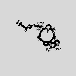 CO[C@@H](COC1CN(C(=O)C#CC(C)(C)N(C)C)C1)C(=O)N[C@H]1Cc2coc(n2)-c2ccc3c(c2)c(c(-c2cccnc2[C@H](C)OC)n3CC(F)(F)F)CC(C)(C)COC(=O)[C@@]2([SiH3])CCCN(N2)C1=O